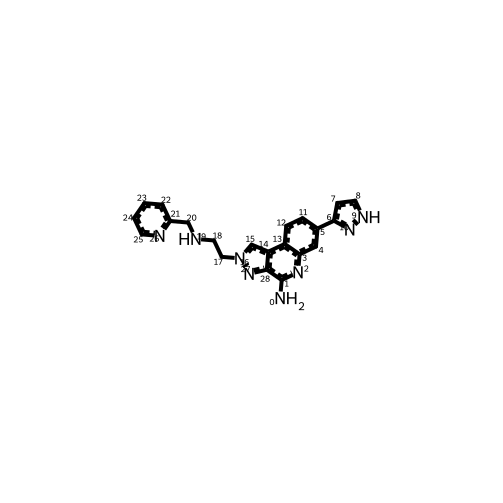 Nc1nc2cc(-c3cc[nH]n3)ccc2c2cn(CCNCc3ccccn3)nc12